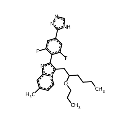 CCCCC(Cc1c(-c2c(F)cc(-c3nnc[nH]3)cc2F)nc2cc(C)ccn12)OCCC